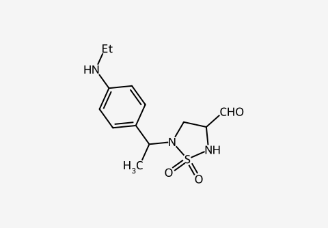 CCNc1ccc(C(C)N2CC(C=O)NS2(=O)=O)cc1